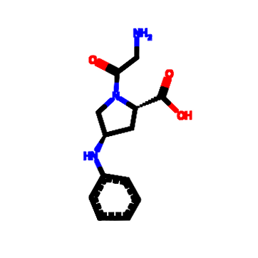 NCC(=O)N1C[C@H](Nc2ccccc2)C[C@H]1C(=O)O